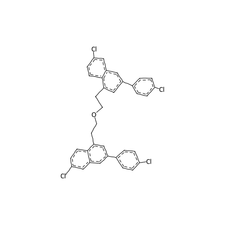 Clc1ccc(-c2cc(CCOCCc3cc(-c4ccc(Cl)cc4)cc4cc(Cl)ccc34)c3ccc(Cl)cc3c2)cc1